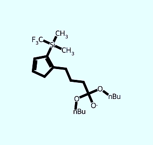 CCCCOC([O])(CCCC1=C([Si](C)(C)C(F)(F)F)C=CC1)OCCCC